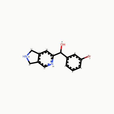 OC(c1cccc(Br)c1)c1cc2c(cn1)CNC2